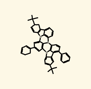 CC(C)(C)c1ccc2c(c1)c1c(-c3ccccc3)ccc3c1n2-c1cc(C2=CC=CCC2)cc2c1B3c1cccc3c4c(n-2c13)C=CC(C(C)(C)C)C4